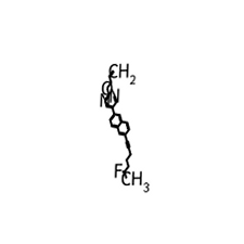 C=CCOc1ncc(-c2ccc3cc(C#CCCCC(C)F)ccc3c2)cn1